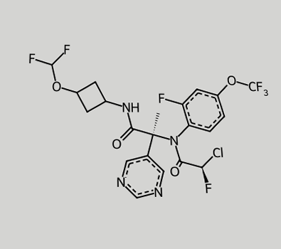 C[C@@](C(=O)NC1CC(OC(F)F)C1)(c1cncnc1)N(C(=O)[C@H](F)Cl)c1ccc(OC(F)(F)F)cc1F